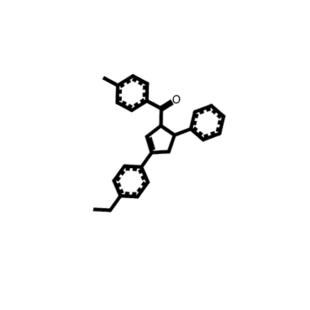 CCc1ccc(C2=CC(C(=O)c3ccc(C)cc3)C(c3ccccc3)C2)cc1